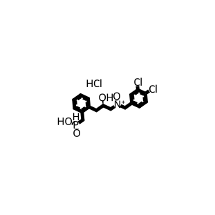 Cl.O=[N+](Cc1ccc(Cl)c(Cl)c1)C[C@@H](O)Cc1ccccc1C[PH](=O)O